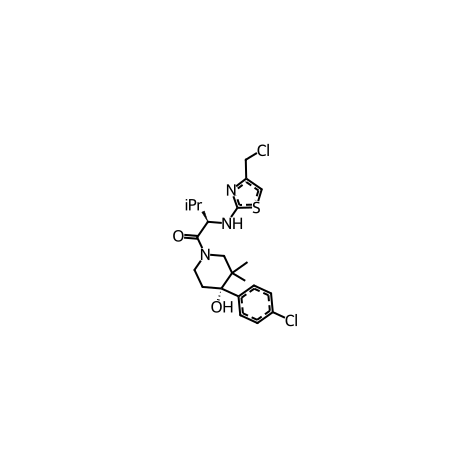 CC(C)[C@@H](Nc1nc(CCl)cs1)C(=O)N1CC[C@](O)(c2ccc(Cl)cc2)C(C)(C)C1